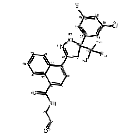 O=CCNC(=O)c1ccc(C2=NOC(c3cc(F)cc(Cl)c3)(C(F)(F)F)C2)c2ccccc12